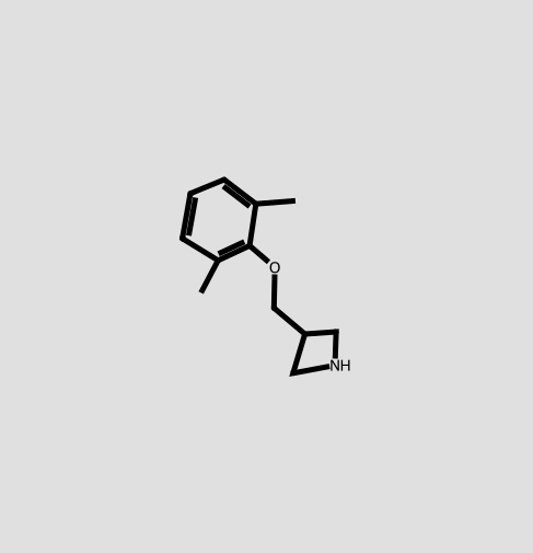 Cc1cccc(C)c1OCC1CNC1